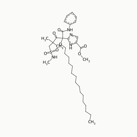 CCCCCCCCCCCCCCCCOC(C(=O)Nc1ccccc1)(C(=O)C(C)(C)CS(=O)(=O)NC)c1ncc(C(=O)OC)[nH]1